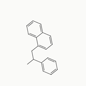 CC(Cc1cccc2ccccc12)c1ccccc1